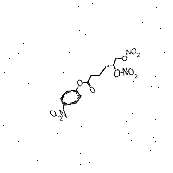 O=C(CCC[C@H](CO[N+](=O)[O-])O[N+](=O)[O-])Oc1ccc([N+](=O)[O-])cc1